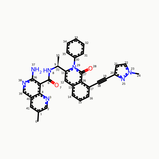 Cc1cnc2c(C(=O)N[C@@H](C)c3cc4cccc(C#Cc5ccn(C)n5)c4c(=O)n3-c3ccccc3)c(N)ncc2c1